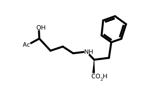 CC(=O)C(O)CCCN[C@@H](Cc1ccccc1)C(=O)O